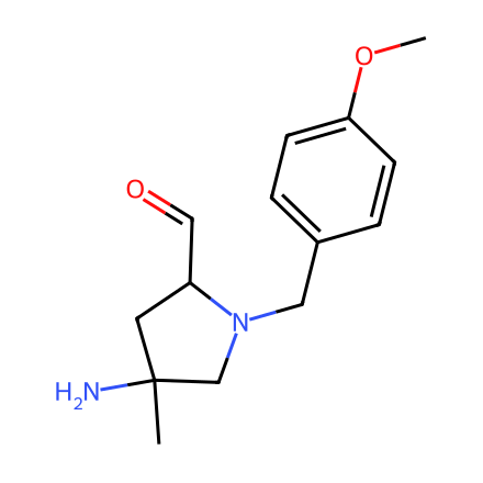 COc1ccc(CN2CC(C)(N)CC2C=O)cc1